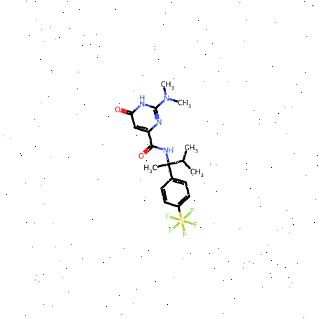 CC(C)C(C)(NC(=O)c1cc(=O)[nH]c(N(C)C)n1)c1ccc(S(F)(F)(F)(F)F)cc1